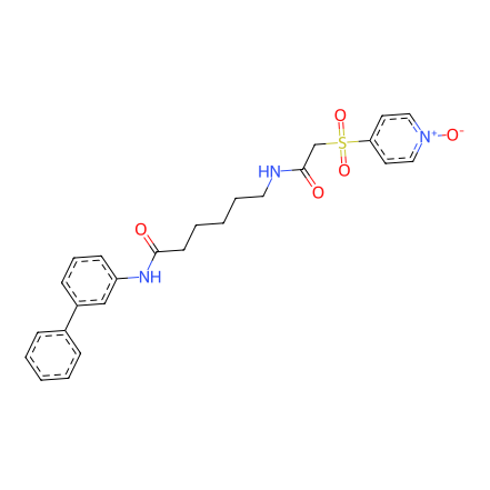 O=C(CS(=O)(=O)c1cc[n+]([O-])cc1)NCCCCCC(=O)Nc1cccc(-c2ccccc2)c1